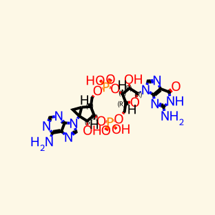 Nc1nc2c(ncn2[C@@H]2O[C@@H]3COP(=O)(O)O[C@H]4[C@@H](O)C5(n6cnc7c(N)ncnc76)CC5[C@@H]4COP(=O)(O)O[C@H]3[C@H]2O)c(=O)[nH]1